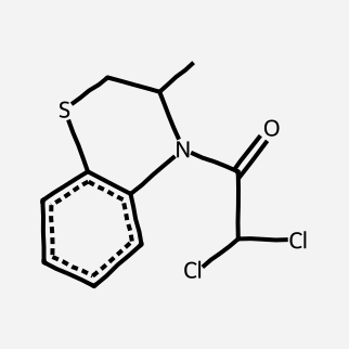 CC1CSc2ccccc2N1C(=O)C(Cl)Cl